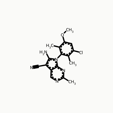 COc1cc(Cl)c(C)c(-n2c(N)c(C#N)c3cnc(C)nc32)c1C